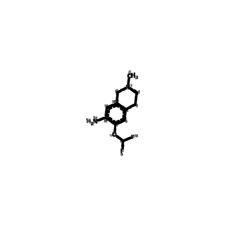 CN1CCc2cc(OC(F)F)c(N)cc2C1